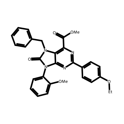 CCOc1ccc(-c2nc(C(=O)OC)c3c(n2)n(-c2ccccc2OC)c(=O)n3Cc2ccccc2)cc1